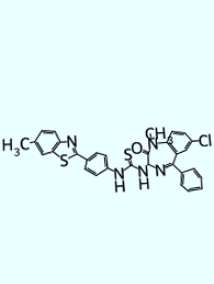 Cc1ccc2nc(-c3ccc(NC(=S)NC4N=C(c5ccccc5)c5cc(Cl)ccc5N(C)C4=O)cc3)sc2c1